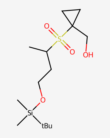 CC(CCO[Si](C)(C)C(C)(C)C)S(=O)(=O)C1(CO)CC1